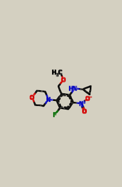 COCc1c(NC2CC2)c([N+](=O)[O-])cc(F)c1N1CCOCC1